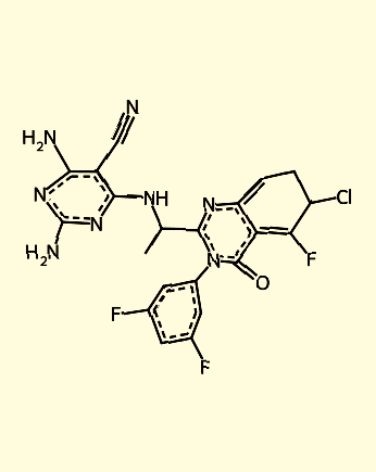 CC(Nc1nc(N)nc(N)c1C#N)c1nc2c(c(=O)n1-c1cc(F)cc(F)c1)=C(F)C(Cl)CC=2